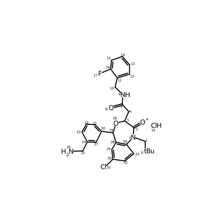 CC(C)(C)CN1C(=O)C(CC(=O)NCc2ccccc2F)OC(c2cccc(CN)c2)c2cc(Cl)ccc21.Cl